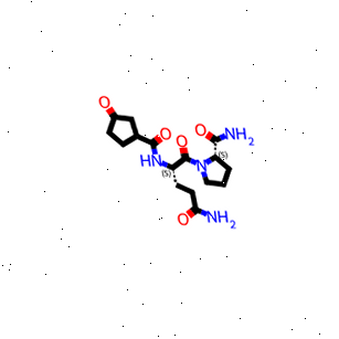 NC(=O)CC[C@H](NC(=O)C1CCC(=O)C1)C(=O)N1CCC[C@H]1C(N)=O